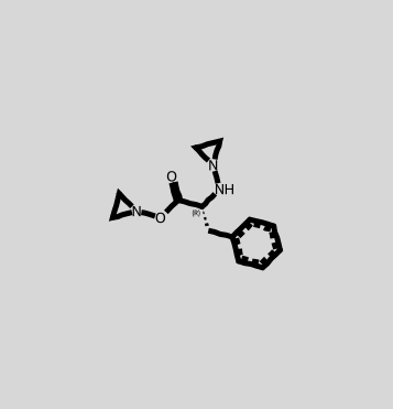 O=C(ON1CC1)[C@@H](Cc1ccccc1)NN1CC1